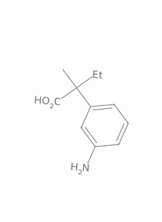 CCC(C)(C(=O)O)c1cccc(N)c1